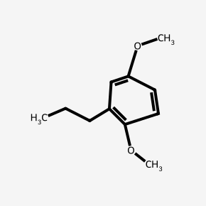 CCCc1cc(OC)ccc1OC